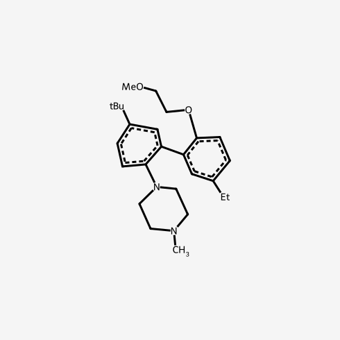 CCc1ccc(OCCOC)c(-c2cc(C(C)(C)C)ccc2N2CCN(C)CC2)c1